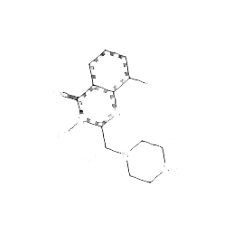 CCC[C@H](c1nc2c(F)cccc2c(=O)n1CC)N1CCN[C@@H](C)C1